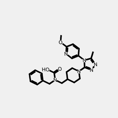 COc1ccc(-n2c(C)nnc2N2CCC(CN(Cc3ccccc3)C(=O)O)CC2)cn1